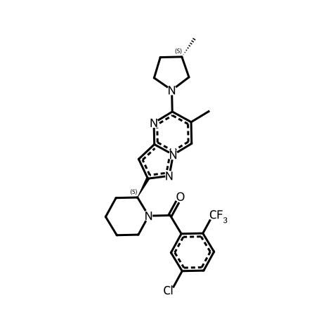 Cc1cn2nc([C@@H]3CCCCN3C(=O)c3cc(Cl)ccc3C(F)(F)F)cc2nc1N1CC[C@H](C)C1